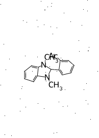 CC(=O)c1ccccc1C1N(C)c2ccccc2N1C